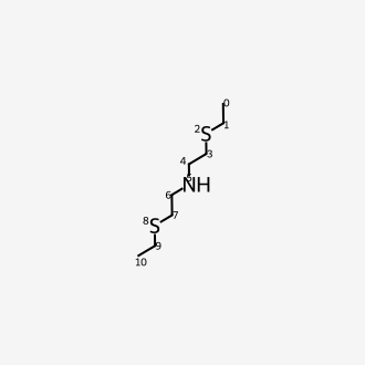 CCSCCNCCSCC